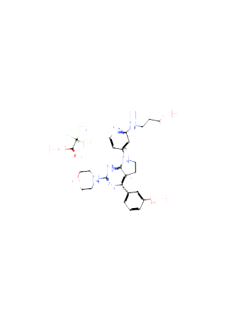 O=C(O)C(F)(F)F.OCCCNc1cc(N2CCc3c(-c4cccc(O)c4)nc(N4CCOCC4)nc32)ccn1